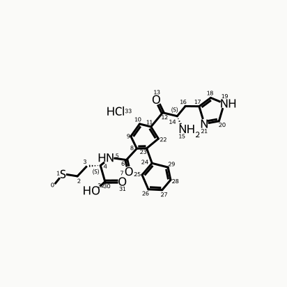 CSCC[C@H](NC(=O)c1ccc(C(=O)[C@@H](N)Cc2c[nH]cn2)cc1-c1ccccc1)C(=O)O.Cl